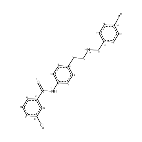 O=C(Nc1ccc(CCNCc2ccc(F)cc2)cc1)c1cccc(Cl)c1